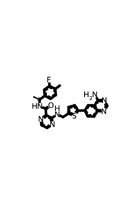 Cc1ccc([C@H](C)NC(=O)c2nccnc2NCc2ccc(-c3ccc4ncnc(N)c4c3)s2)cc1F